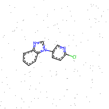 Clc1ccc(-n2[c]nc3ccccc32)cn1